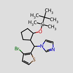 CC(C)(C)[Si](C)(C)OC1CCCC1C(c1sccc1Br)n1ccnc1